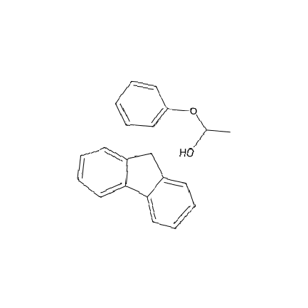 CC(O)Oc1ccccc1.c1ccc2c(c1)Cc1ccccc1-2